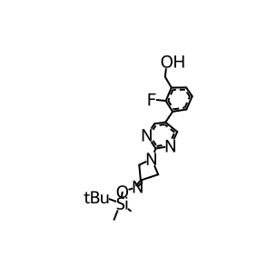 CC(C)(C)[Si](C)(C)ON=C1CN(c2ncc(-c3cccc(CO)c3F)cn2)C1